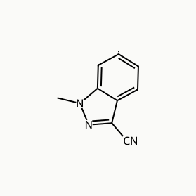 Cn1nc(C#N)c2cc[c]cc21